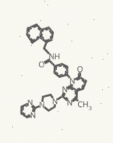 Cc1nc(N2CCN(c3ncccn3)CC2)nc2c1ccc(=O)n2-c1ccc(C(=O)NCc2cccc3ccccc23)cc1